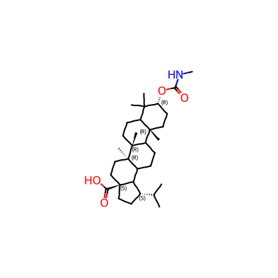 CNC(=O)O[C@@H]1CC[C@@]2(C)C(CC[C@]3(C)C2CCC2C4[C@H](C(C)C)CC[C@]4(C(=O)O)CC[C@]23C)C1(C)C